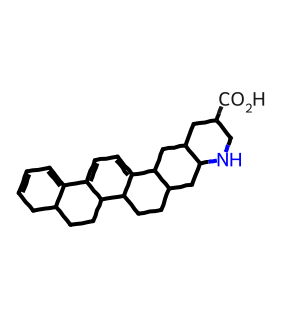 O=C(O)C1CNC2CC3CCC4C(=CC=C5C6=CC=CCC6CCC54)C3CC2C1